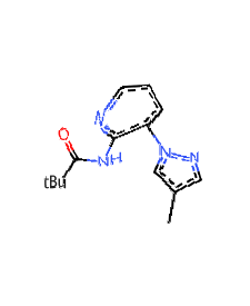 Cc1cnn(-c2cccnc2NC(=O)C(C)(C)C)c1